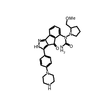 COCC1CCCN1N(C(N)=O)c1cccc2c1C(=O)c1c-2n[nH]c1-c1ccc(N2CCNCC2)cc1